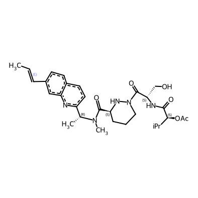 C/C=C/c1ccc2ccc([C@@H](C)N(C)C(=O)[C@@H]3CCCN(C(=O)[C@H](CO)NC(=O)[C@@H](OC(C)=O)C(C)C)N3)nc2c1